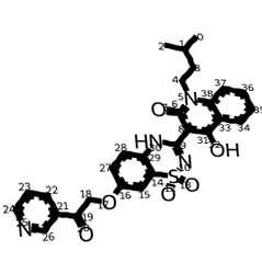 CC(C)CCn1c(=O)c(C2=NS(=O)(=O)c3cc(OCC(=O)c4cccnc4)ccc3N2)c(O)c2ccccc21